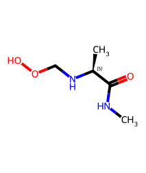 CNC(=O)[C@H](C)NCOO